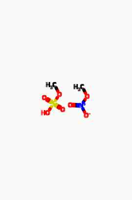 COS(=O)(=O)O.CO[N+](=O)[O-]